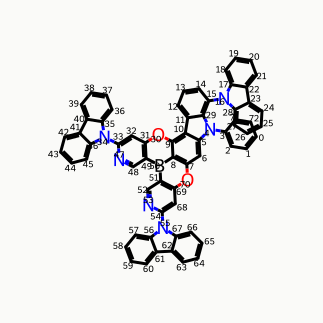 c1ccc(-n2c3cc4c5c(c3c3cccc(-n6c7ccccc7c7ccccc76)c32)Oc2cc(-n3c6ccccc6c6ccccc63)ncc2B5c2cnc(-n3c5ccccc5c5ccccc53)cc2O4)cc1